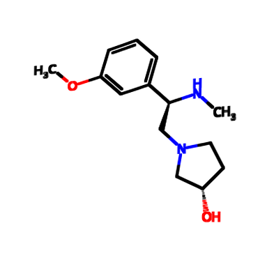 CN[C@@H](CN1CC[C@H](O)C1)c1cccc(OC)c1